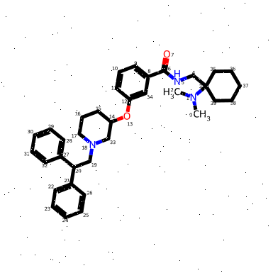 CN(C)C1(CNC(=O)c2cccc(OC3CCCN(CC(c4ccccc4)c4ccccc4)C3)c2)CCCCC1